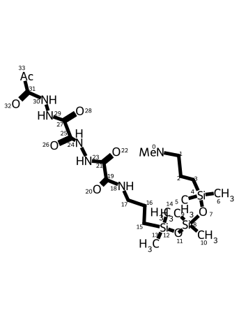 CNCCC[Si](C)(C)O[Si](C)(C)O[Si](C)(C)CCCNC(=O)C(=O)NNC(=O)C(=O)NNC(=O)C(C)=O